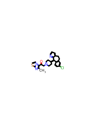 Cc1nc2sccn2c1C(=O)CN1CCC(=C2c3ccc(Cl)cc3CCc3cccnc32)CC1